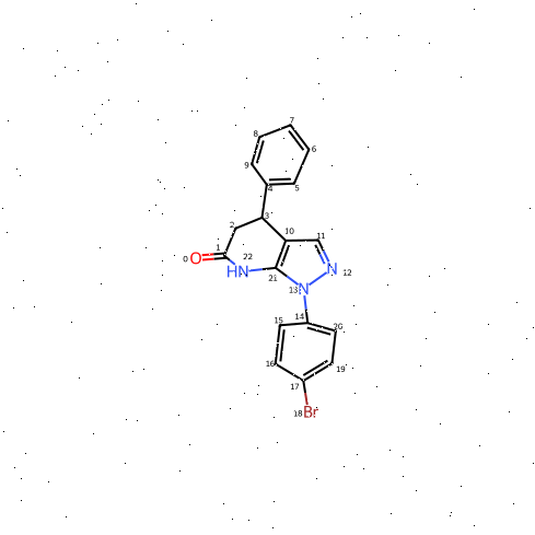 O=C1CC(c2ccccc2)c2cnn(-c3ccc(Br)cc3)c2N1